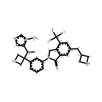 Cn1cnnc1[C@@H](F)C1(c2cccc(N3Cc4c(cc(CC5CNC5)cc4C(F)(F)F)C3=O)c2)COC1